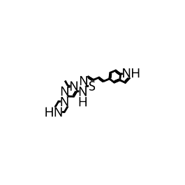 Cc1nc(Nc2ncc(/C=C/c3ccc4[nH]ccc4c3)s2)cc(N2CCNCC2)n1